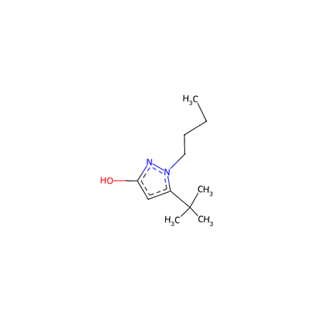 CCCCn1nc(O)cc1C(C)(C)C